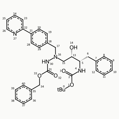 CC(C)(C)OC(=O)N[C@@H](Cc1ccccc1)[C@@H](O)CN(Cc1ccc(-c2ccccn2)cc1)NC(=O)OCc1ccccc1